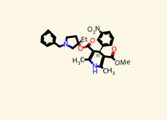 CC[C@]1(OC(=O)C2=C(C)NC(C)=C(C(=O)OC)[C@@H]2c2cccc([N+](=O)[O-])c2)CCN(Cc2ccccc2)C1